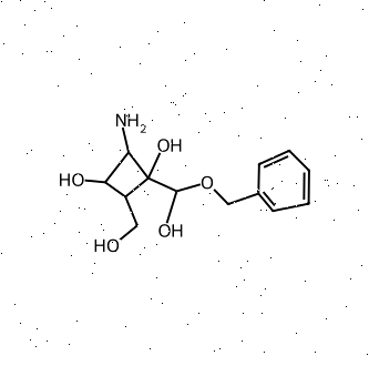 NC1C(O)C(CO)C1(O)C(O)OCc1ccccc1